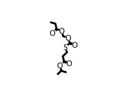 CCC(=O)OCOC(=O)SCCC(=O)OC(C)C